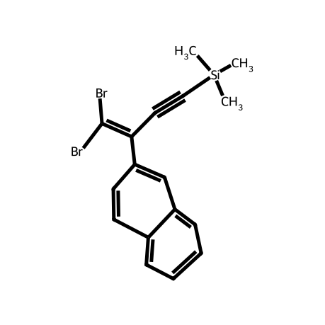 C[Si](C)(C)C#CC(=C(Br)Br)c1ccc2ccccc2c1